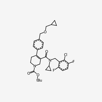 CC(C)(C)OC(=O)N1CCC(c2ccc(COCC3CC3)cc2)=C(C(=O)N(Cc2c(F)ccc(F)c2Cl)C2CC2)C1